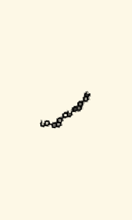 c1cnc2ccc(-c3ccc4ccc5cc(-c6ccc7nc(-c8ccc9c(ccc%10cc(-c%11ccc%12cnccc%12c%11)ccc%109)c8)ccc7c6)ccc5c4c3)cc2c1